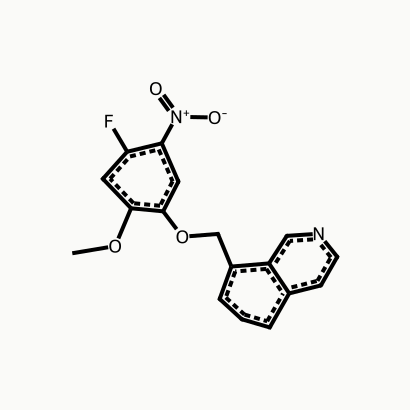 COc1cc(F)c([N+](=O)[O-])cc1OCc1cccc2ccncc12